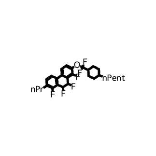 CCCCCC1CCC(C(F)(F)Oc2ccc3c(c2F)C(F)C(F)c2c-3ccc(CCC)c2F)CC1